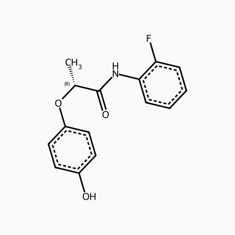 C[C@@H](Oc1ccc(O)cc1)C(=O)Nc1ccccc1F